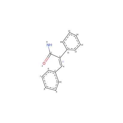 [NH]C(=O)/C(=C\c1ccccc1)c1ccccc1